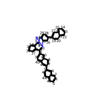 c1ccc2cc(-c3ccc4cc(-c5cn6c7cc(-c8ccc9ccccc9c8)ccc7nc6c6ccccc56)ccc4c3)ccc2c1